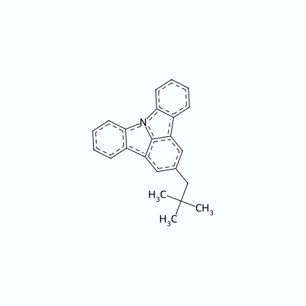 CC(C)(C)Cc1cc2c3ccccc3n3c4ccccc4c(c1)c23